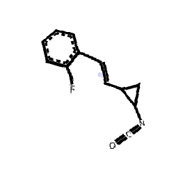 O=C=NC1CC1/C=C/c1ccccc1F